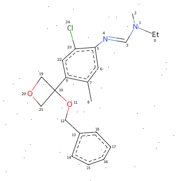 CCN(C)C=Nc1cc(C)c(C2(OCc3ccccc3)COC2)cc1Cl